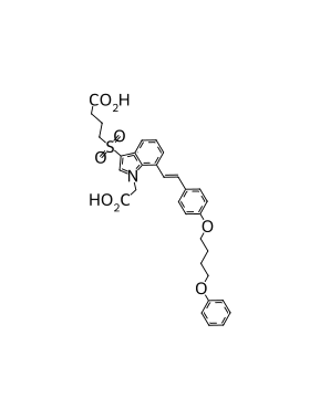 O=C(O)CCCS(=O)(=O)c1cn(CC(=O)O)c2c(C=Cc3ccc(OCCCCOc4ccccc4)cc3)cccc12